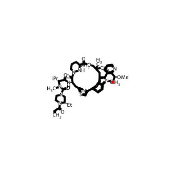 C=CC(=O)N1CCN(C(=O)N(C)[C@H](C(=O)N[C@H]2Cc3nc(cs3)-c3ccc4c(c3)c(c(-c3cccnc3[C@H](C)OC)n4CC)CC(C)(C)COC(=O)[C@@]3([SiH3])CCCN(N3)C2=O)C(C)C)C[C@@H]1CC